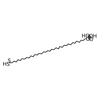 O=P(O)(O)OCCCCCCCCCCCCCCCCCCCCCCCCCCCCCCCCCCCCC(=S)S